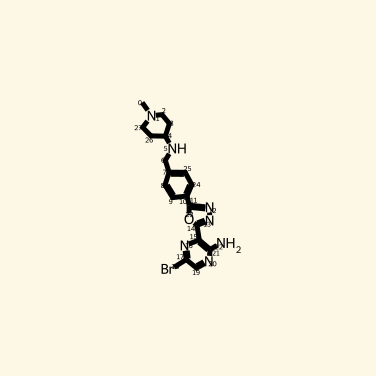 CN1CCC(NCc2ccc(-c3nnc(-c4nc(Br)cnc4N)o3)cc2)CC1